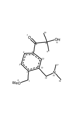 COCc1ccc(C(=O)C(C)(C)O)cc1CN(C)C